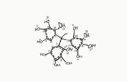 CC(c1cc(O)c(O)c(O)c1O)(c1cc(O)c(O)c(O)c1O)c1cc(O)c(O)c(O)c1O